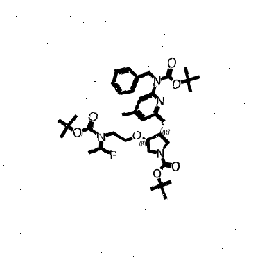 Cc1cc(C[C@@H]2CN(C(=O)OC(C)(C)C)C[C@@H]2OCCN(C(=O)OC(C)(C)C)C(C)F)nc(N(Cc2ccccc2)C(=O)OC(C)(C)C)c1